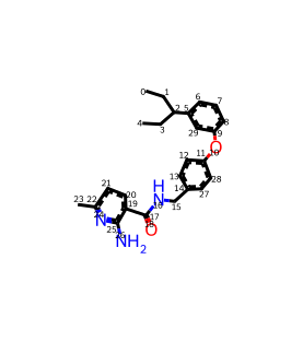 CCC(CC)c1cccc(Oc2ccc(CNC(=O)c3ccc(C)nc3N)cc2)c1